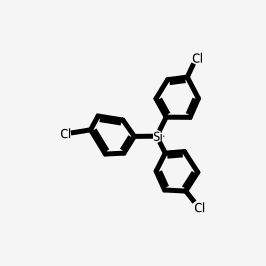 Clc1ccc([Si](c2ccc(Cl)cc2)c2ccc(Cl)cc2)cc1